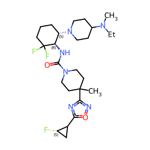 CCN(C)C1CCN([C@H]2CCCC(F)(F)[C@@H]2NC(=O)N2CCC(C)(c3noc(C4C[C@@H]4F)n3)CC2)CC1